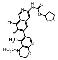 Cc1c(-c2cc3cc(NC(=O)OC4CCOC4)ncc3c(Cl)c2F)cnc2c1N(C(=O)O)CCO2